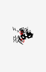 Cc1ccccc1-c1cc(OC(C)C)cc(OC(C)C)c1